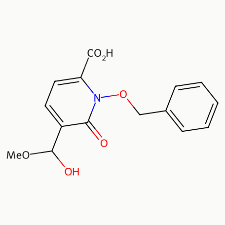 COC(O)c1ccc(C(=O)O)n(OCc2ccccc2)c1=O